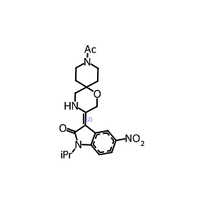 CC(=O)N1CCC2(CC1)CN/C(=C1\C(=O)N(C(C)C)c3ccc([N+](=O)[O-])cc31)CO2